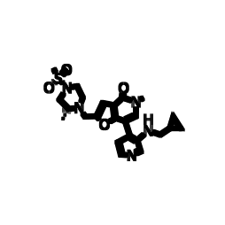 C[C@@H]1CN(S(C)(=O)=O)CCN1Cc1cc2c(=O)n(C)cc(-c3ccncc3NCC3CC3)c2o1